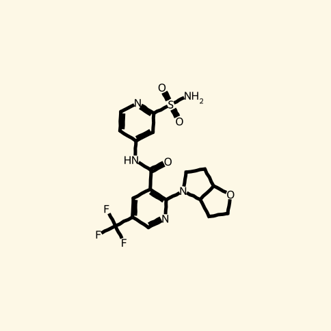 NS(=O)(=O)c1cc(NC(=O)c2cc(C(F)(F)F)cnc2N2CCC3OCCC32)ccn1